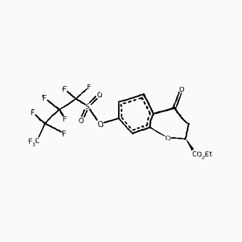 CCOC(=O)[C@@H]1CC(=O)c2ccc(OS(=O)(=O)C(F)(F)C(F)(F)C(F)(F)C(F)(F)F)cc2O1